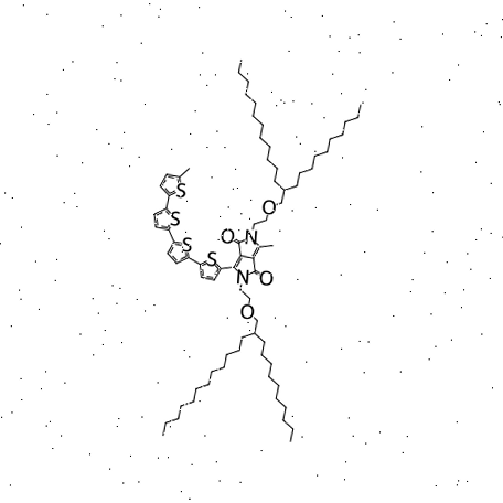 CCCCCCCCCCCCC(CCCCCCCCCC)COCCN1C(=O)C2=C(c3ccc(-c4ccc(-c5ccc(-c6ccc(C)s6)s5)s4)s3)N(CCOCC(CCCCCCCCCC)CCCCCCCCCCCC)C(=O)C2=C1C